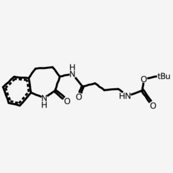 CC(C)(C)OC(=O)NCCCC(=O)NC1CCc2ccccc2NC1=O